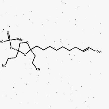 CCCCCCCCC=CCCCCCCCC1(CCC#N)OCC(CCC#N)(OP(O)(=S)OC)O1